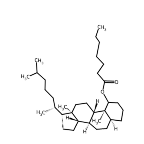 CCCCCCC(=O)OC1CCC[C@H]2CC[C@H]3[C@@H]4CC[C@H]([C@H](C)CCCC(C)C)[C@@]4(C)CC[C@@H]3[C@@]12C